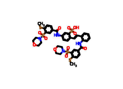 CSc1ccc(C(=O)Nc2ccc(C=Cc3ccccc3NC(=O)c3ccc(SC)c(S(=O)(=O)N4CCOCC4)c3)c(S(=O)(=O)O)c2)cc1S(=O)(=O)N1CCOCC1